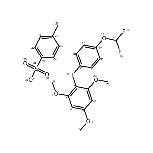 COc1cc(OC)c([I+]c2ccc(OC(F)F)cc2)c(OC)c1.Cc1ccc(S(=O)(=O)[O-])cc1